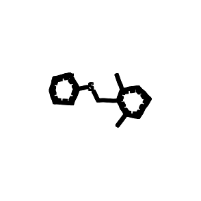 Cc1cccc(C)c1CSc1[c]cccc1